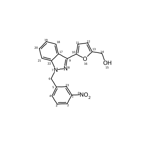 O=[N+]([O-])c1cccc(Cn2nc(-c3ccc(CO)o3)c3ccccc32)c1